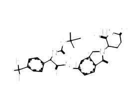 CC(C)(C)OC(=O)NC(C(=O)NCc1ccc2c(c1)CN(C1CCC(=O)NC1=O)C2=O)c1ccc(C(F)(F)F)cc1